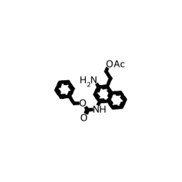 CC(=O)OCCc1c(N)cc(NC(=O)OCc2ccccc2)c2ccccc12